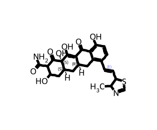 CC1N=CSC1/C=C/c1ccc(O)c2c1C[C@H]1C[C@H]3CC(O)C(C(N)=O)C(=O)[C@@]3(O)C(O)=C1C2=O